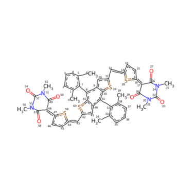 Cc1cccc(C)c1-c1c2cc(/C=c3/ccc(=C4C(=O)N(C)C(=O)N(C)C4=O)s3)sc2c(-c2c(C)cccc2C)c2cc(/C=c3/ccc(=C4C(=O)N(C)C(=O)N(C)C4=O)s3)sc12